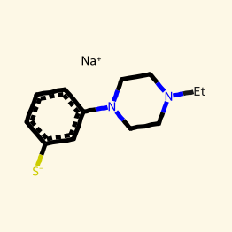 CCN1CCN(c2cccc([S-])c2)CC1.[Na+]